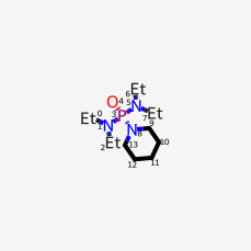 CCN(CC)P(=O)(N(CC)CC)N1CCCCC1